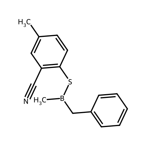 CB(Cc1ccccc1)Sc1ccc(C)cc1C#N